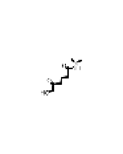 CN(C)NC(=O)CCCC(=O)CO